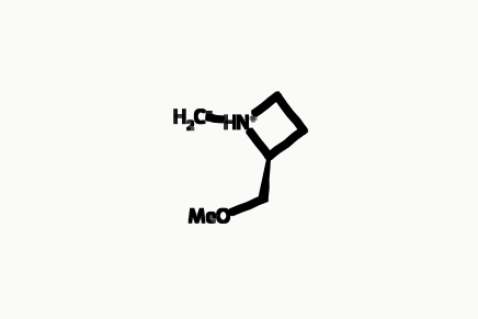 [CH2-][NH+]1CC[C@H]1COC